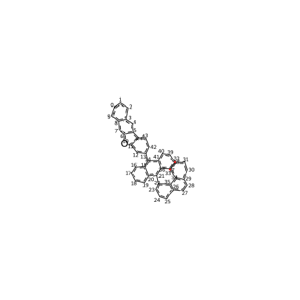 c1ccc2cc3c(cc2c1)oc1cc(-c2c4ccccc4c(-c4cccc5ccc6ccccc6c45)c4ccccc24)ccc13